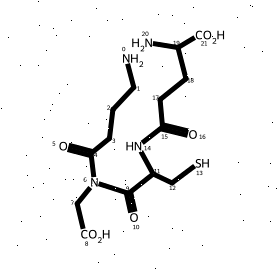 NCCCC(=O)N(CC(=O)O)C(=O)C(CS)NC(=O)CCC(N)C(=O)O